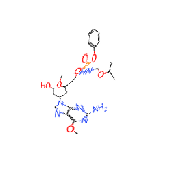 COc1nc(N)nc2c1ncn2[C@@H](CCO)CC(COP(=O)(NCOC(C)C)Oc1ccccc1)OC